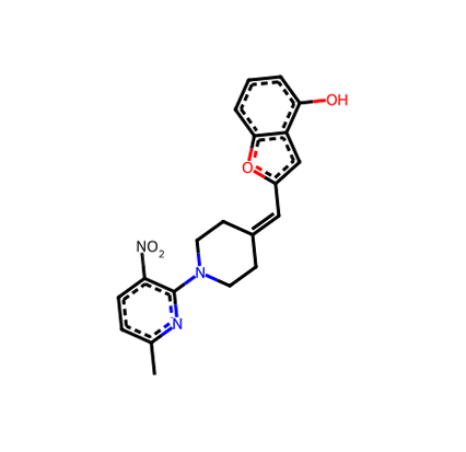 Cc1ccc([N+](=O)[O-])c(N2CCC(=Cc3cc4c(O)cccc4o3)CC2)n1